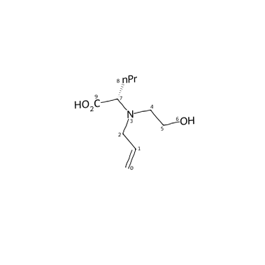 C=CCN(CCO)[C@@H](CCC)C(=O)O